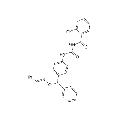 CC(C)C=NOC(c1ccccc1)c1ccc(NC(=O)NC(=O)c2ccccc2Cl)cc1